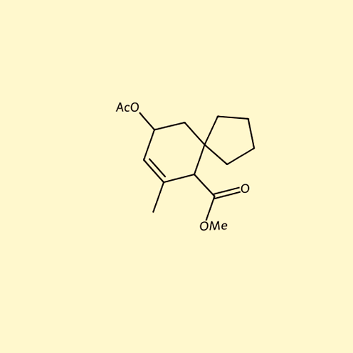 COC(=O)C1C(C)=CC(OC(C)=O)CC12CCCC2